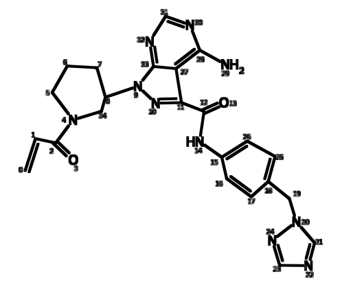 C=CC(=O)N1CCCC(n2nc(C(=O)Nc3ccc(Cn4cncn4)cc3)c3c(N)ncnc32)C1